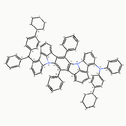 c1ccc(-c2c3c4cccc5c6c(C(c7ccccc7)c7ccc(C8CCCCC8)cc7)cccc6n(c3c(-c3ccccc3)c3c6cccc7c8c(N(c9ccccc9)c9ccc(C%10CCCCC%10)cc9)cccc8n(c23)c76)c54)cc1